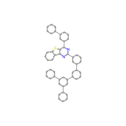 c1ccc(-c2cc(-c3ccccc3)cc(-c3cccc(-c4cccc(-c5nc(-c6cccc(-c7ccccc7)c6)c6sc7ccccc7c6n5)c4)c3)c2)cc1